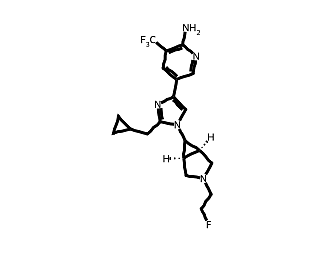 Nc1ncc(-c2cn(C3[C@H]4CN(CCF)C[C@@H]34)c(CC3CC3)n2)cc1C(F)(F)F